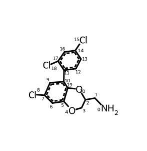 NCC1COc2cc(Cl)cc(-c3ccc(Cl)cc3Cl)c2O1